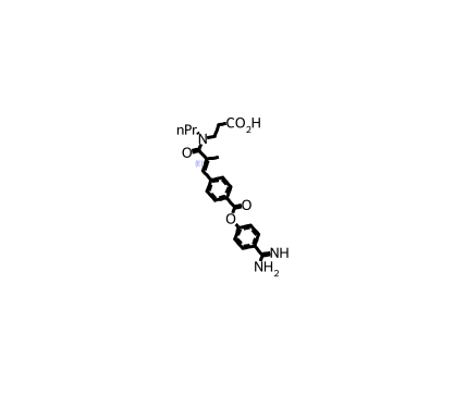 CCCN(CCC(=O)O)C(=O)/C(C)=C/c1ccc(C(=O)Oc2ccc(C(=N)N)cc2)cc1